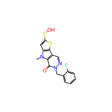 Cn1c2cc(SO)sc2c2cnn(Cc3ccccc3F)c(=O)c21